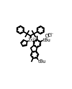 Cc1cc2c(cc1C(C)(C)C)-c1cc(C(C)(C)C)c(C)[c]([Zr+2](=[C](C(C)(C)c3ccccc3)C(C)(C)c3ccccc3)[CH]3C=CC=C3)c1C2.[Cl-].[Cl-]